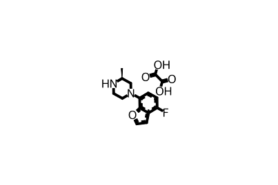 C[C@H]1CN(c2ccc(F)c3ccoc23)CCN1.O=C(O)C(=O)O